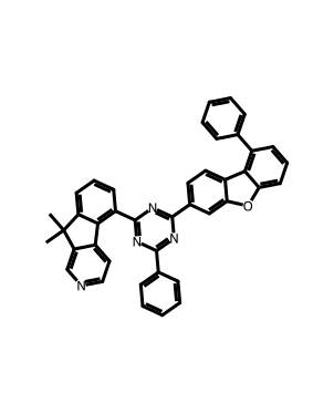 CC1(C)c2cnccc2-c2c(-c3nc(-c4ccccc4)nc(-c4ccc5c(c4)oc4cccc(-c6ccccc6)c45)n3)cccc21